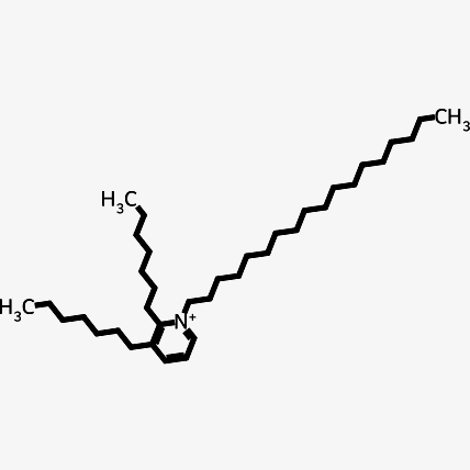 CCCCCCCCCCCCCCCCCC[n+]1cccc(CCCCCCC)c1CCCCCCC